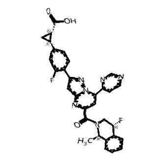 C[C@@H]1c2ccccc2[C@@H](F)CN1C(=O)c1cc(-c2ccncn2)n2nc(-c3ccc([C@H]4C[C@@H]4C(=O)O)cc3F)cc2n1